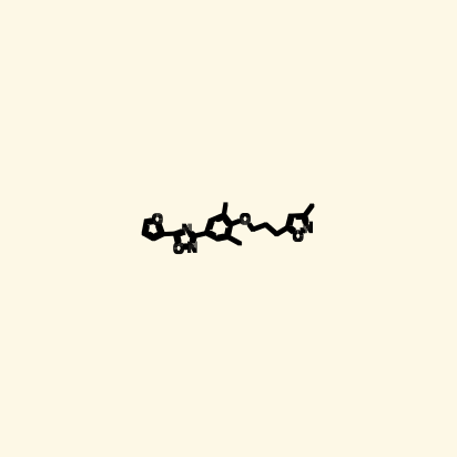 Cc1cc(CCCOc2c(C)cc(-c3noc(-c4ccco4)n3)cc2C)on1